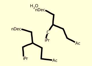 CCCCCCCCCCCC(CCC(C)=O)CC(C)C.CCCCCCCCCCCC(CCC(C)=O)CC(C)C.O